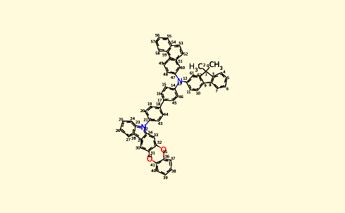 CC1(C)c2ccccc2-c2ccc(N(c3ccc(-c4ccc(-n5c6ccccc6c6cc7c(cc65)Oc5ccccc5O7)cc4)cc3)c3ccc4c(ccc5ccccc54)c3)cc21